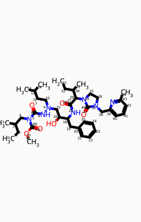 CCC(C)CN(C(=O)NN(CCC(C)C)CC(O)C(Cc1ccccc1)NC(=O)C(C(C)CC)N1CCN(Cc2cccc(C)n2)C1=O)C(=O)OC